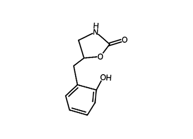 O=C1NCC(Cc2ccccc2O)O1